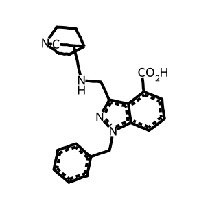 O=C(O)c1cccc2c1c(CNC1CN3CCC1CC3)nn2Cc1ccccc1